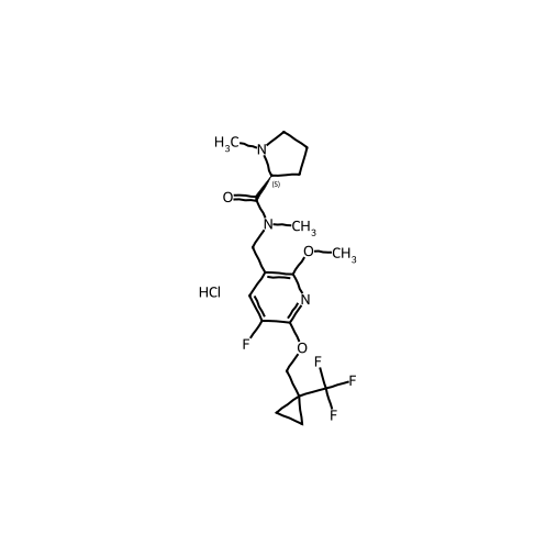 COc1nc(OCC2(C(F)(F)F)CC2)c(F)cc1CN(C)C(=O)[C@@H]1CCCN1C.Cl